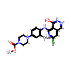 COc1cc(N2CCN(C(=O)OC(C)(C)C)CC2)ccc1Nc1nc(Br)cc2cnnc(O)c12